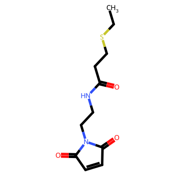 CCSCCC(=O)NCCN1C(=O)C=CC1=O